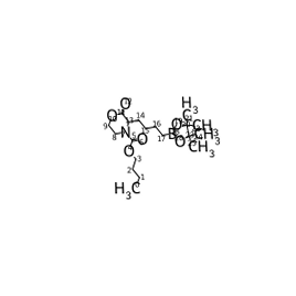 CCCCOC(=O)N1CCOC(=O)[C@H]1CCCCB1OC(C)(C)C(C)(C)O1